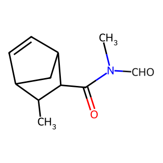 CC1C2C=CC(C2)C1C(=O)N(C)C=O